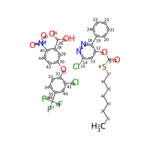 CCCCCCCCSC(=O)Oc1cc(Cl)nnc1-c1ccccc1.O=C(O)c1cc(Oc2ccc(C(F)(F)F)cc2Cl)ccc1[N+](=O)[O-]